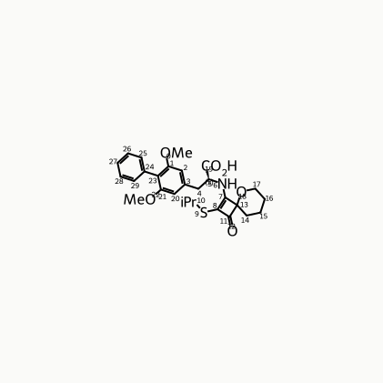 COc1cc(C[C@H](NC2=C(SC(C)C)C(=O)C23CCCCO3)C(=O)O)cc(OC)c1-c1ccccc1